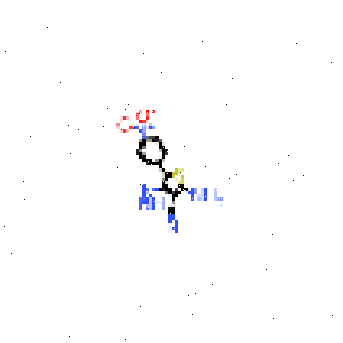 N#Cc1c(N)sc(-c2ccc([N+](=O)[O-])cc2)c1N=N